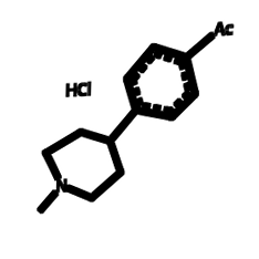 CC(=O)c1ccc(C2CCN(C)CC2)cc1.Cl